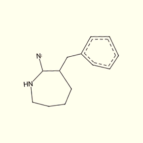 [N]C1NCCCCC1Cc1ccccc1